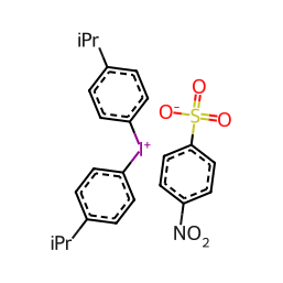 CC(C)c1ccc([I+]c2ccc(C(C)C)cc2)cc1.O=[N+]([O-])c1ccc(S(=O)(=O)[O-])cc1